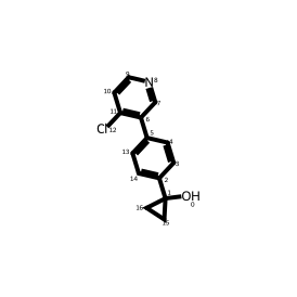 OC1(c2ccc(-c3cnccc3Cl)cc2)CC1